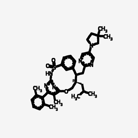 Cc1cccc(C)c1-c1nc2nc(c1C)OC[C@@H](CC(C)C)C(Cc1ncc(N3CCC(C)(C)C3)cn1)c1cccc(c1)S(=O)(=O)N2